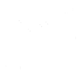 COc1cc(/C=N/NC(=O)c2cncc(-c3ccc(OCC(C)C)cc3)n2)cc(OC)c1